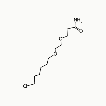 NC(=O)CCOCCOCCCCCCCl